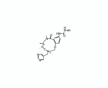 CC(C)NC(=O)Nc1ccc2c(c1)C(=O)N(C)C[C@H](C)[C@@H](C)CN(Cc1cncnc1)[C@@H](C)CO2